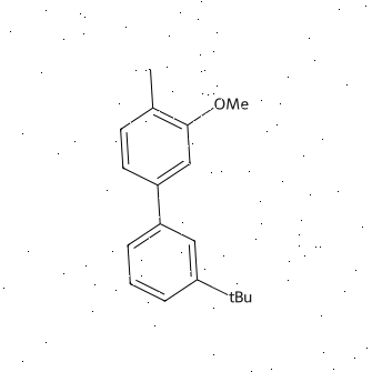 COc1cc(-c2cccc(C(C)(C)C)c2)ccc1C